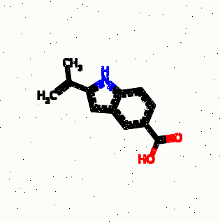 C=C(C)c1cc2cc(C(=O)O)ccc2[nH]1